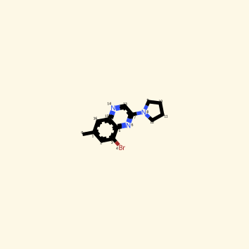 Cc1cc(Br)c2nc(N3CCCC3)cnc2c1